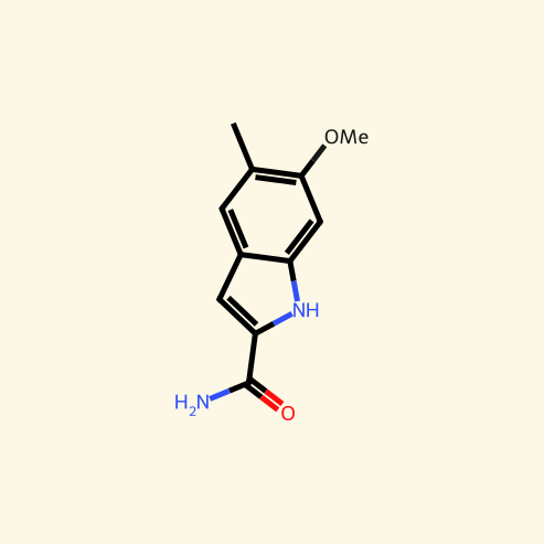 COc1cc2[nH]c(C(N)=O)cc2cc1C